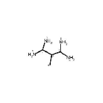 CC(C(N)N)C(N)N